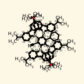 CC(C)c1ccc2c(c1)c1cc(C(C)C)ccc1n2-c1c(C#N)c(-n2c3ccc(C(C)C)cc3c3cc(C(C)C)ccc32)c(-n2c3ccc(C(C)C)cc3c3cc(C(C)C)ccc32)c(C2CCCCC2)c1-n1c2ccc(C(C)C)cc2c2cc(C(C)C)ccc21